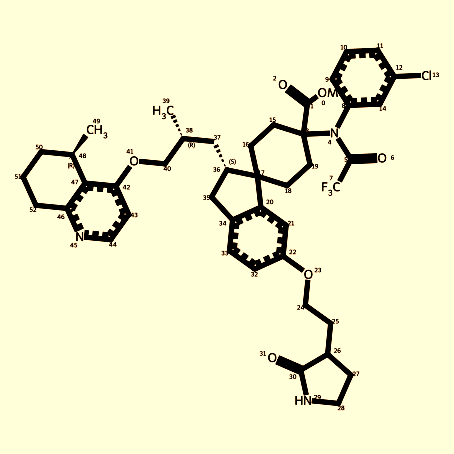 COC(=O)C1(N(C(=O)C(F)(F)F)c2cccc(Cl)c2)CCC2(CC1)c1cc(OCCC3CCNC3=O)ccc1C[C@@H]2C[C@@H](C)COc1ccnc2c1[C@H](C)CCC2